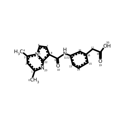 Cc1cc(C)n2ccc(C(=O)Nc3cccc(CC(=O)O)c3)c2n1